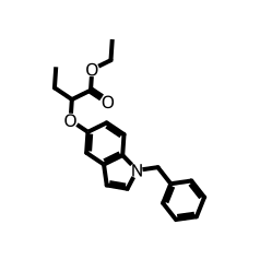 CCOC(=O)C(CC)Oc1ccc2c(ccn2Cc2ccccc2)c1